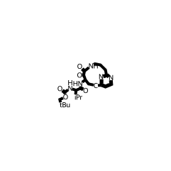 CC(C)C(NC(=O)OCC(C)(C)C)C(=O)NC1CCc2ccnc(n2)CCCNC(=O)C1=O